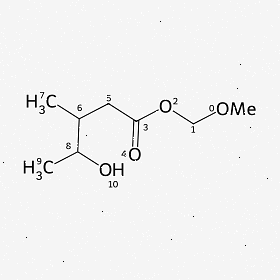 COCOC(=O)CC(C)C(C)O